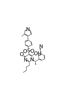 CCCCc1nc(=O)c(S(=O)(=O)c2ccc(-c3ccncc3C)cc2)c(O)n1[C@H](C)c1cccc(C#N)c1